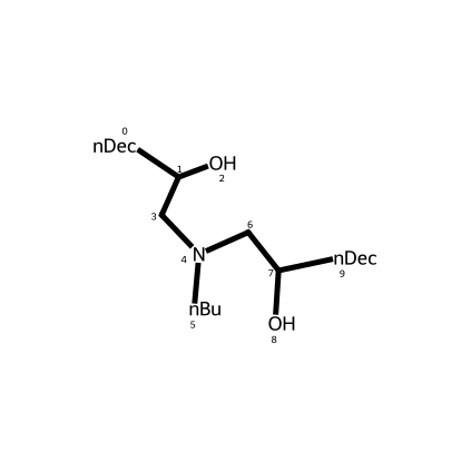 CCCCCCCCCCC(O)CN(CCCC)CC(O)CCCCCCCCCC